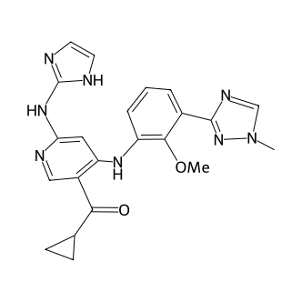 COc1c(Nc2cc(Nc3ncc[nH]3)ncc2C(=O)C2CC2)cccc1-c1ncn(C)n1